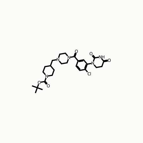 CC(C)(C)OC(=O)N1CCC(CN2CCN(C(=O)c3ccc(Cl)c(N4CCC(=O)NC4=O)c3)CC2)CC1